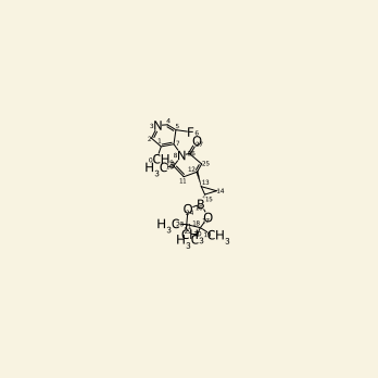 Cc1cncc(F)c1-n1c(C)cc([C@H]2C[C@@H]2B2OC(C)(C)C(C)(C)O2)cc1=O